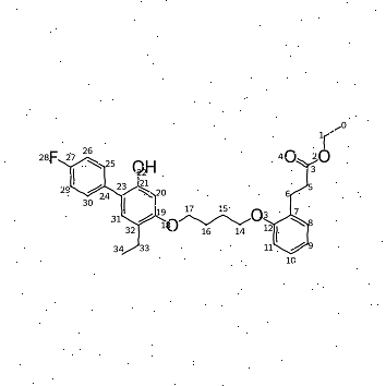 CCOC(=O)CCc1ccccc1OCCCCOc1cc(O)c(-c2ccc(F)cc2)cc1CC